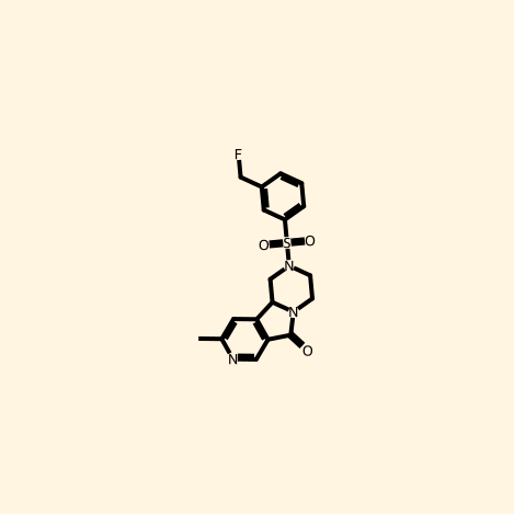 Cc1cc2c(cn1)C(=O)N1CCN(S(=O)(=O)c3cccc(CF)c3)CC21